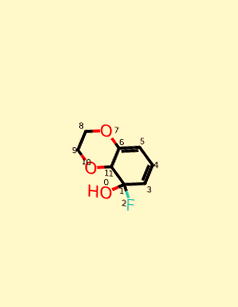 OC1(F)C=CC=C2OCCOC21